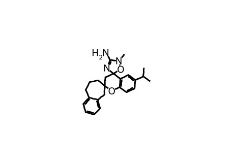 CC(C)c1ccc2c(c1)C1(CC3(CCCc4ccccc4C3)O2)N=C(N)N(C)O1